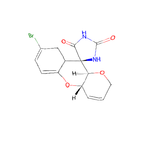 O=C1NC(=O)[C@@]2(N1)C1CC(Br)=CC=C1O[C@H]1C=CCO[C@@H]12